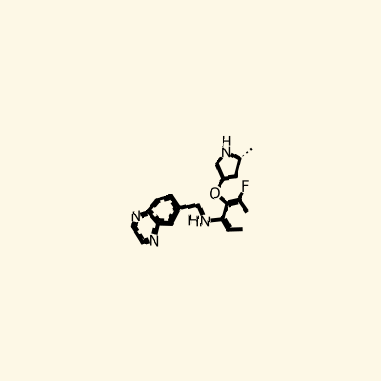 C/C=C(NCc1ccc2nccnc2c1)\C(OC1CN[C@H](C)C1)=C(/C)F